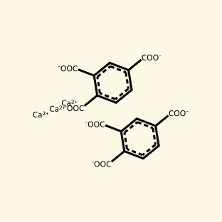 O=C([O-])c1ccc(C(=O)[O-])c(C(=O)[O-])c1.O=C([O-])c1ccc(C(=O)[O-])c(C(=O)[O-])c1.[Ca+2].[Ca+2].[Ca+2]